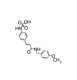 COc1ccc(CNC(=O)C=Cc2ccc(NS(=O)(=O)O)cc2)cc1